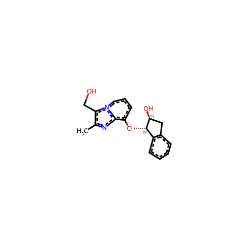 Cc1nc2c(O[C@H]3c4ccccc4C[C@@H]3O)cccn2c1CO